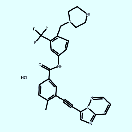 Cc1ccc(C(=O)Nc2ccc(CN3CCNCC3)c(C(F)(F)F)c2)cc1C#Cc1cnc2cccnn12.Cl